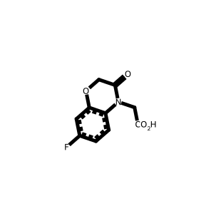 O=C(O)CN1C(=O)COc2cc(F)ccc21